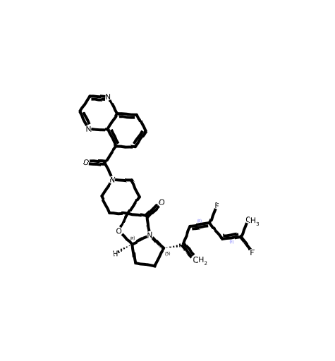 C=C(/C=C(F)\C=C(/C)F)[C@@H]1CC[C@H]2OC3(CCN(C(=O)c4cccc5nccnc45)CC3)C(=O)N21